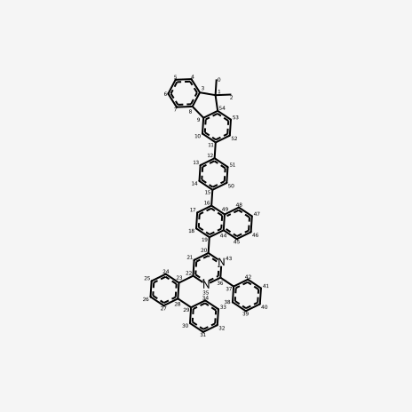 CC1(C)c2ccccc2-c2cc(-c3ccc(-c4ccc(-c5cc(-c6ccccc6-c6ccccc6)nc(-c6ccccc6)n5)c5ccccc45)cc3)ccc21